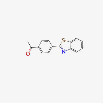 CC(=O)c1ccc(-c2nc3ccccc3s2)cc1